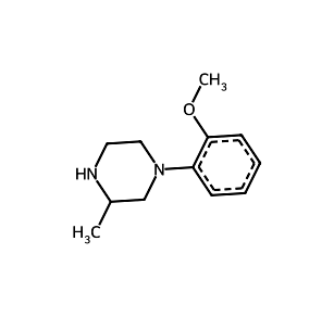 COc1ccccc1N1CCNC(C)C1